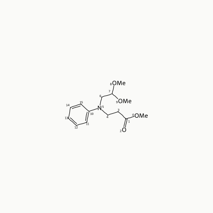 COC(=O)CCN(CC(OC)OC)c1ccccc1